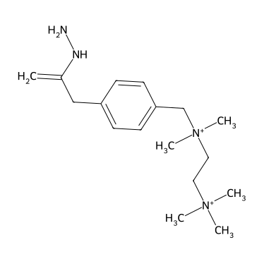 C=C(Cc1ccc(C[N+](C)(C)CC[N+](C)(C)C)cc1)NN